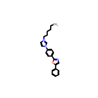 CCCCCC[n+]1ccn(-c2ccc(-c3ncc(-c4ccccc4)o3)cc2)c1